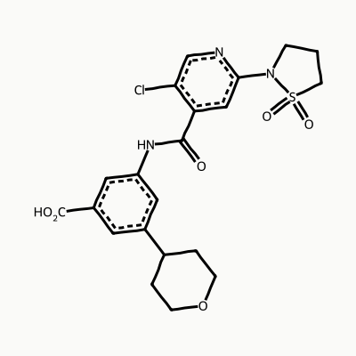 O=C(O)c1cc(NC(=O)c2cc(N3CCCS3(=O)=O)ncc2Cl)cc(C2CCOCC2)c1